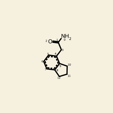 NC(=O)Cc1cccc2c1CCC2